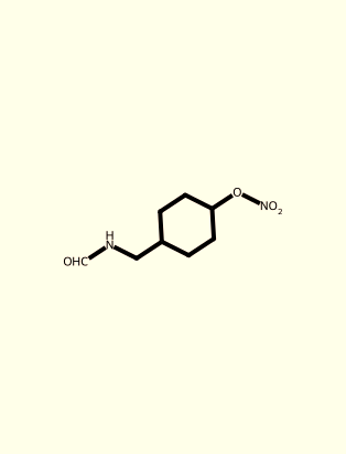 O=CNCC1CCC(O[N+](=O)[O-])CC1